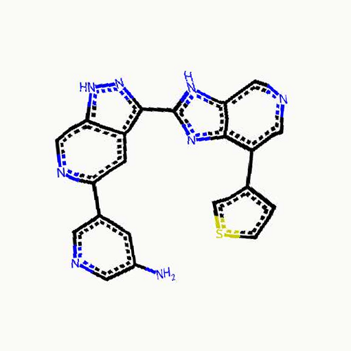 Nc1cncc(-c2cc3c(-c4nc5c(-c6ccsc6)cncc5[nH]4)n[nH]c3cn2)c1